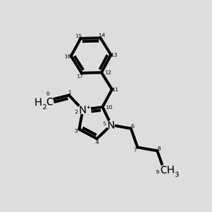 C=C[n+]1ccn(CCCC)c1Cc1ccccc1